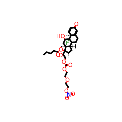 CCCCC(=O)O[C@]1(C(=O)COC(=O)OCCOCCO[N+](=O)[O-])[C@@H](C)C[C@H]2C3CCC4=CC(=O)C=C[C@]4(C)[C@@]3(F)[C@@H](O)C[C@@]21C